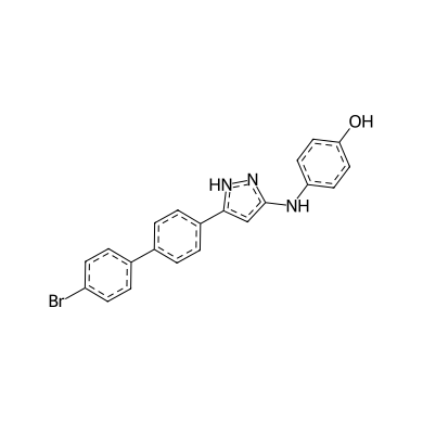 Oc1ccc(Nc2cc(-c3ccc(-c4ccc(Br)cc4)cc3)[nH]n2)cc1